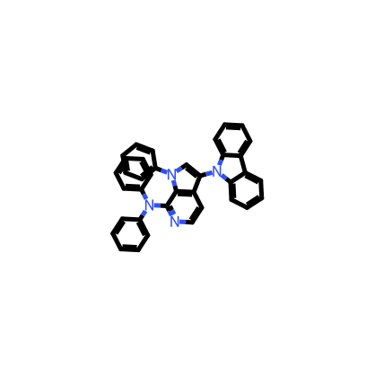 c1ccc(N(c2ccccc2)c2nccc3c(-n4c5ccccc5c5ccccc54)cn(-c4ccccc4)c23)cc1